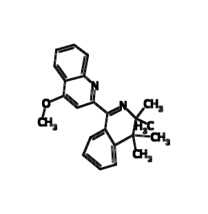 COc1cc(C2=NC(C)(C)C(C)(C)c3ccccc32)nc2ccccc12